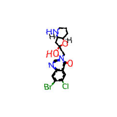 O=c1c2cc(Cl)c(Br)cc2ncn1CC1(O)C[C@H]2NCCC[C@H]2O1